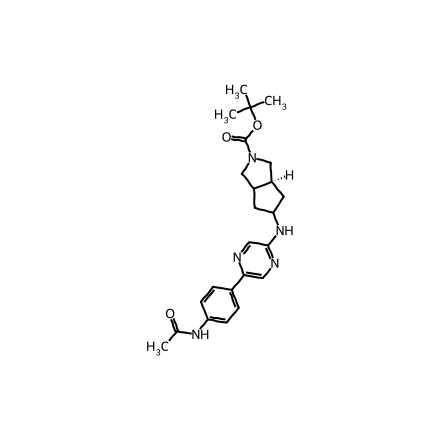 CC(=O)Nc1ccc(-c2cnc(NC3CC4CN(C(=O)OC(C)(C)C)C[C@H]4C3)cn2)cc1